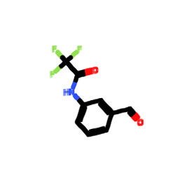 O=Cc1cccc(NC(=O)C(F)(F)F)c1